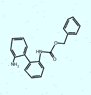 Nc1ccccc1-c1ccccc1NC(=O)OCc1ccccc1